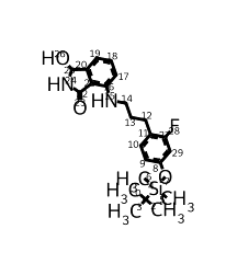 CC(C)(C)[Si](C)(C)Oc1ccc(CCCNc2cccc3c2C(=O)NC3O)c(F)c1